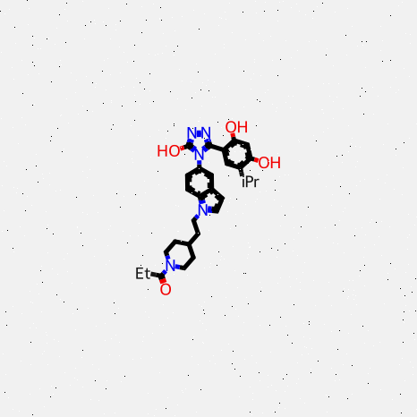 [CH2]CC(=O)N1CCC(CCn2ccc3cc(-n4c(O)nnc4-c4cc(C(C)C)c(O)cc4O)ccc32)CC1